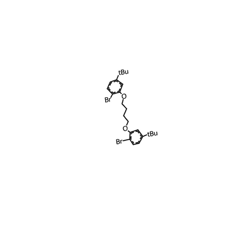 CC(C)(C)c1ccc(Br)c(OCCCCOc2cc(C(C)(C)C)ccc2Br)c1